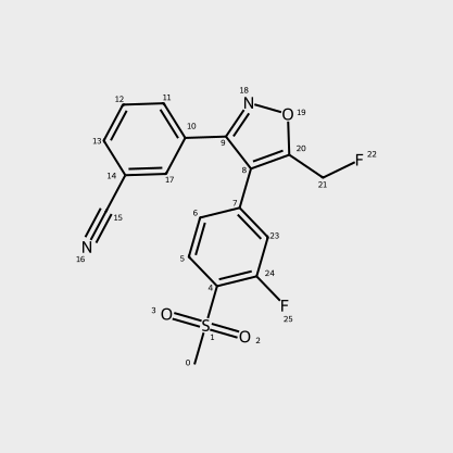 CS(=O)(=O)c1ccc(-c2c(-c3cccc(C#N)c3)noc2CF)cc1F